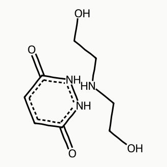 O=c1ccc(=O)[nH][nH]1.OCCNCCO